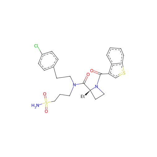 CC[C@]1(C(=O)N(CCCS(N)(=O)=O)CCc2ccc(Cl)cc2)CCN1C(=O)c1csc2ccccc12